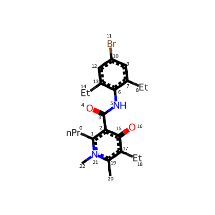 CCCc1c(C(=O)Nc2c(CC)cc(Br)cc2CC)c(=O)c(CC)c(C)n1C